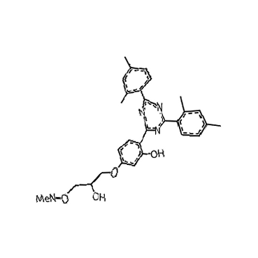 CNOCC(O)COc1ccc(-c2nc(-c3ccc(C)cc3C)nc(-c3ccc(C)cc3C)n2)c(O)c1